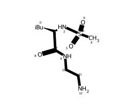 CC[C@H](C)[C@H](NS(C)(=O)=O)C(=O)NCCN